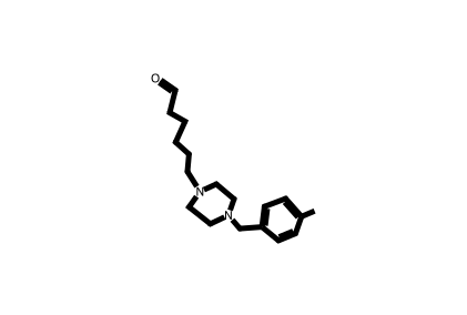 Cc1ccc(CN2CCN(CCCCCC=O)CC2)cc1